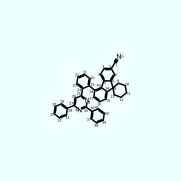 N#Cc1ccc2c(c1)C1(CCCCC1)c1cccc(-c3ccccc3-c3cc(-c4ccccc4)nc(-c4ccccc4)n3)c1-2